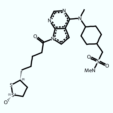 CNS(=O)(=O)CC1CCC(N(C)c2ncnc3c2ccn3C(=O)CCCC[C@@H]2CC[S@+]([O-])S2)CC1